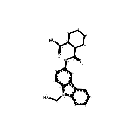 CCn1c2ccccc2c2cc(NC(=O)C3CCCCC3C(=O)O)ccc21